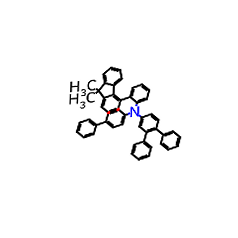 CC1(C)c2ccccc2-c2c(-c3ccccc3N(c3ccc(-c4ccccc4)cc3)c3ccc(-c4ccccc4)c(-c4ccccc4)c3)cccc21